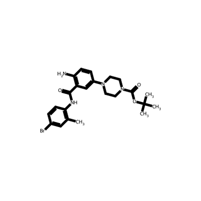 Cc1cc(Br)ccc1NC(=O)c1cc(N2CCN(C(=O)OC(C)(C)C)CC2)ccc1N